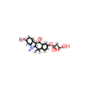 Cn1c2c(c3ccc(Br)cc31)C(=O)c1cc(O[C@@H](O)CCO)ccc1C2(C)C